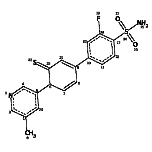 Cc1cncc(C2C=CC(c3ccc(S(N)(=O)=O)c(F)c3)=CC2=S)c1